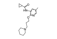 Cc1cnc(OCCCN2CCCCC2)c(NC(=O)C2CC2)c1